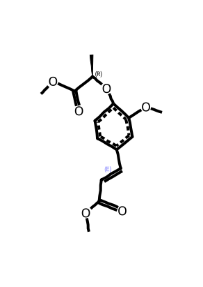 COC(=O)/C=C/c1ccc(O[C@H](C)C(=O)OC)c(OC)c1